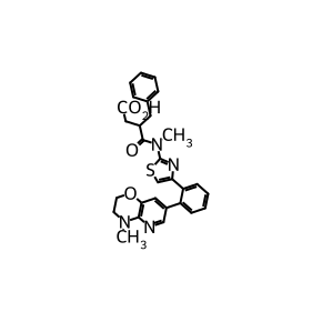 CN1CCOc2cc(-c3ccccc3-c3csc(N(C)C(=O)C(CC(=O)O)Cc4ccccc4)n3)cnc21